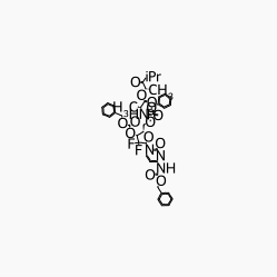 CC(C)C(=O)[C@H](C)OC(=O)[C@H](C)NP(=O)(OC[C@H]1O[C@@H](n2ccc(NC(=O)OCc3ccccc3)nc2=O)C(F)(F)[C@@H]1OC(=O)OCc1ccccc1)Oc1ccccc1